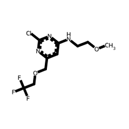 COCCNc1cc(COCC(F)(F)F)nc(Cl)n1